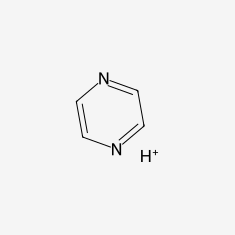 [H+].c1cnccn1